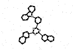 c1cc(-c2nc(-c3ccc4ccccc4c3)nc(-c3ccc4ccccc4c3)n2)cc(-n2c3ccccc3c3ccccc32)c1